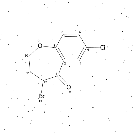 O=C1c2cc(Cl)ccc2OCCC1Br